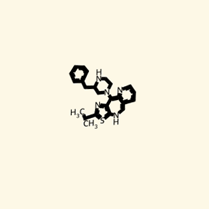 CC(C)c1nc2c(s1)NC=c1cccnc1=C2N1CCNC(Cc2ccccc2)C1